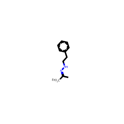 CCOC(=O)C(C)=NNCCc1ccccc1